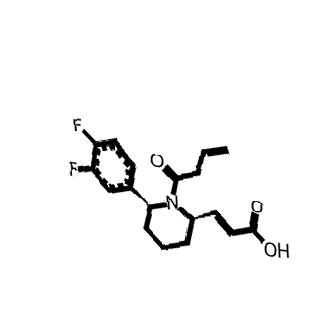 C=CCC(=O)N1[C@@H](/C=C/C(=O)O)CCC[C@H]1c1ccc(F)c(F)c1